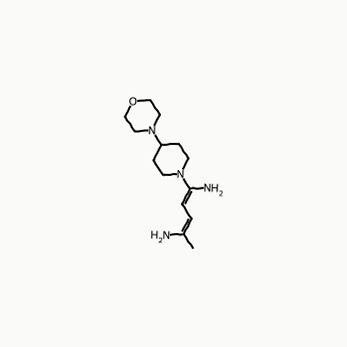 C/C(N)=C/C=C(\N)N1CCC(N2CCOCC2)CC1